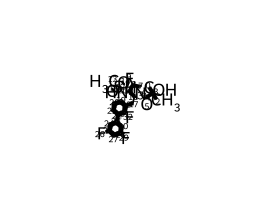 CC(C)(O)C(=O)N1C[C@H](F)[C@H](NS(C)(=O)=O)[C@@H]1Cc1cccc(-c2cc(F)cc(F)c2)c1F